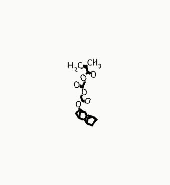 C=C(C)C(=O)OCC(=O)OCC(=O)OC1CC2CC1C1C3CCC(C3)C21